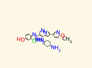 COc1ccc(-c2cc3c(NC4CCC(N)CC4)c(/C(N)=N/c4ccc(O)cc4Cl)cnn3c2)cn1